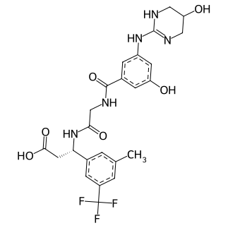 Cc1cc([C@H](CC(=O)O)NC(=O)CNC(=O)c2cc(O)cc(NC3=NCC(O)CN3)c2)cc(C(F)(F)F)c1